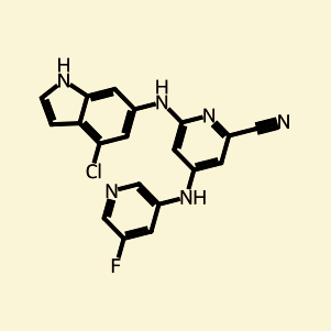 N#Cc1cc(Nc2cncc(F)c2)cc(Nc2cc(Cl)c3cc[nH]c3c2)n1